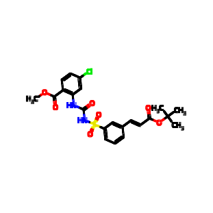 COC(=O)c1ccc(Cl)cc1NC(=O)NS(=O)(=O)c1cccc(C=CC(=O)OC(C)(C)C)c1